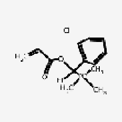 C=CC(=O)OC(CC)(c1ccccc1)[N+](C)(C)C.[Cl-]